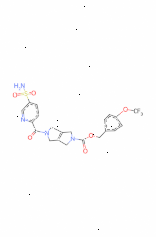 NS(=O)(=O)c1ccc(C(=O)N2CC3=C(CN(C(=O)OCc4ccc(OC(F)(F)F)cc4)C3)C2)nc1